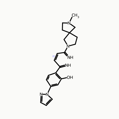 CN1CCC2(CCN(C(=N)/C=C\C(=N)c3ccc(-n4cccn4)cc3O)C2)C1